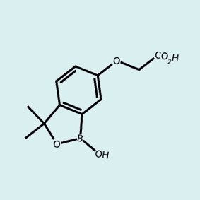 CC1(C)OB(O)c2cc(OCC(=O)O)ccc21